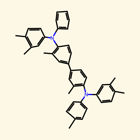 Cc1ccc(N(c2ccc(C)c(C)c2)c2ccc(-c3ccc(N(c4ccccc4)c4ccc(C)c(C)c4)c(C)c3)cc2C)cc1